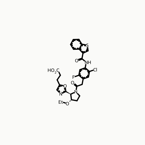 CCO[C@H]1CCN(C(=O)Cc2cc(Cl)c(NC(=O)c3csc4ccccc34)cc2F)[C@@H]1c1ncc(CCC(=O)O)o1